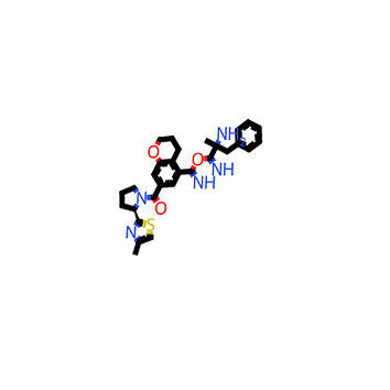 Cc1csc([C@H]2CCCN2C(=O)c2cc3c(c(C(=N)OC(=N)C(C)(N)Cc4ccccc4)c2)CCCO3)n1